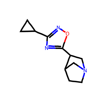 C1CC1c1noc(C2CN3CCC2C3)n1